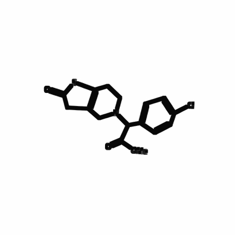 COC(=O)C(c1ccc(Cl)cc1)N1CCC2=C(CC(=O)S2)C1